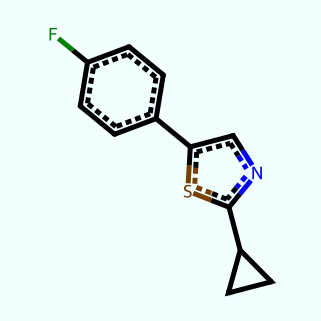 Fc1ccc(-c2cnc(C3CC3)s2)cc1